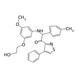 COc1cc(NC(C(=O)c2nscc2-c2ccccc2)c2ccc(C)cc2)cc(OCCO)c1